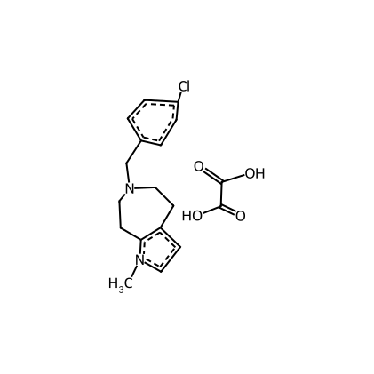 Cn1ccc2c1CCN(Cc1ccc(Cl)cc1)CC2.O=C(O)C(=O)O